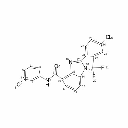 O=C(Nc1ccc[n+]([O-])c1)c1cccc2c1nc1n2C(F)(F)c2cc(Cl)ccc2-1